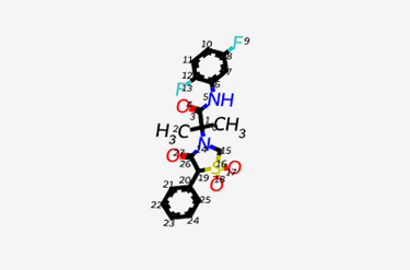 CC(C)(C(=O)Nc1cc(F)ccc1F)N1CS(=O)(=O)C(c2ccccc2)C1=O